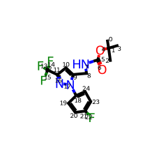 CC(C)(C)OC(=O)NCc1cc(C(F)(F)F)nn1-c1ccc(F)cc1